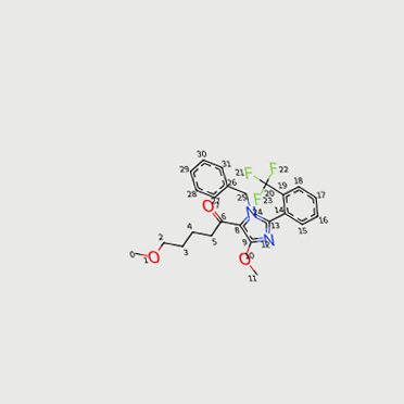 COCCCCC(=O)c1c(OC)nc(-c2ccccc2C(F)(F)F)n1Cc1ccccc1